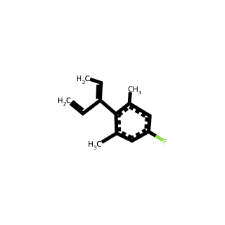 C=C/C(=C\C)c1c(C)cc(F)cc1C